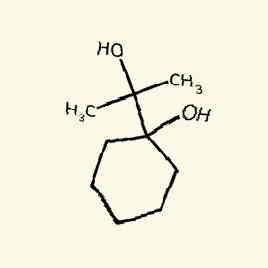 CC(C)(O)C1(O)CCCCC1